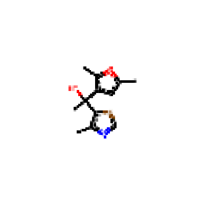 Cc1cc(C(C)(O)c2scnc2C)c(C)o1